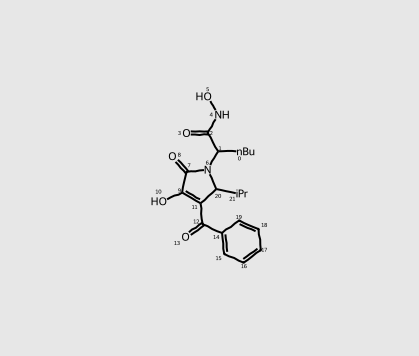 CCCCC(C(=O)NO)N1C(=O)C(O)=C(C(=O)c2ccccc2)C1C(C)C